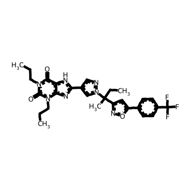 CCCn1c(=O)c2[nH]c(-c3cnn(C(C)(CC)c4cc(-c5ccc(C(F)(F)F)cc5)on4)c3)nc2n(CCC)c1=O